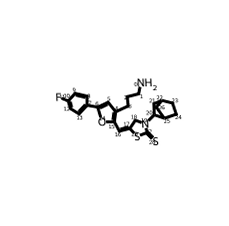 NCCCc1cc(-c2ccc(F)cc2)oc1C=C1CN(C2CC3CCC2C3)C(=S)S1